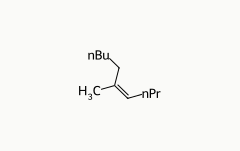 CCCC=C(C)CCCCC